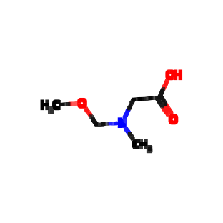 COCN(C)CC(=O)O